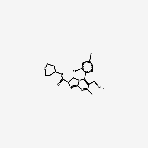 CC1=NC2=NC(C(=O)NC3CCOCC3)CN2C(c2ccc(Cl)cc2Cl)=C1CN